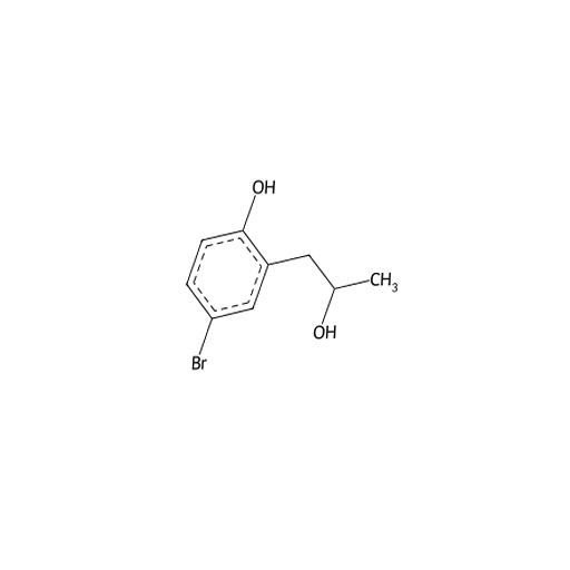 CC(O)Cc1cc(Br)ccc1O